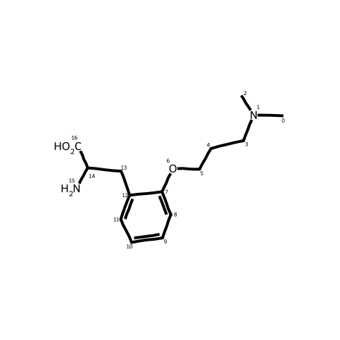 CN(C)CCCOc1ccccc1CC(N)C(=O)O